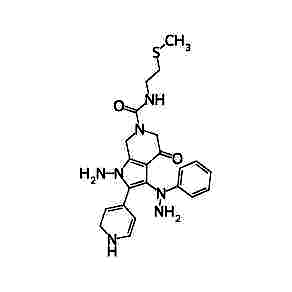 CSCCNC(=O)N1CC(=O)c2c(N(N)c3ccccc3)c(C3=CCNC=C3)n(N)c2C1